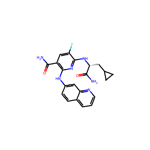 NC(=O)c1cc(F)c(N[C@H](CC2CC2)C(N)=O)nc1Nc1ccc2cccnc2c1